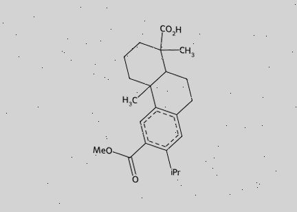 COC(=O)c1cc2c(cc1C(C)C)CCC1C(C)(C(=O)O)CCCC21C